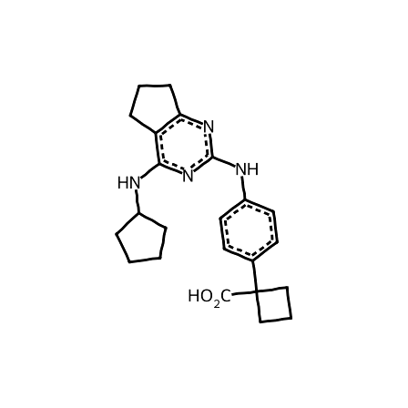 O=C(O)C1(c2ccc(Nc3nc4c(c(NC5CCCC5)n3)CCC4)cc2)CCC1